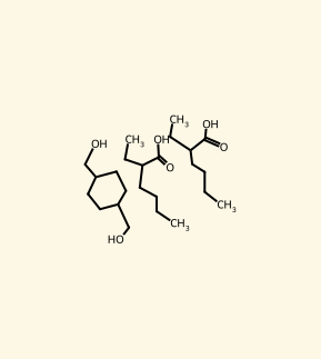 CCCCC(CC)C(=O)O.CCCCC(CC)C(=O)O.OCC1CCC(CO)CC1